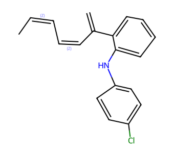 C=C(/C=C\C=C/C)c1ccccc1Nc1ccc(Cl)cc1